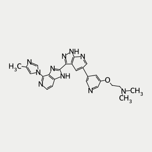 Cc1cn(-c2nccc3[nH]c(-c4n[nH]c5ncc(-c6cncc(OCCN(C)C)c6)cc45)nc23)cn1